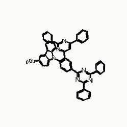 CC(C)(C)c1ccc2c(c1)c1ccccc1n2-c1ccc(-c2nc(-c3ccccc3)nc(-c3ccccc3)n2)cc1-c1cc(-c2ccccc2)nc(-c2ccccc2)n1